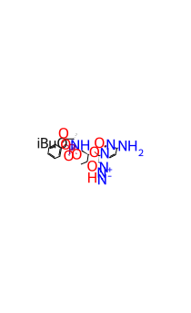 CC(C)COC(=O)[C@H](C)NP(=O)(OC[C@@H](O[C@@H](CN=[N+]=[N-])n1ccc(N)nc1=O)C(C)O)Oc1ccccc1